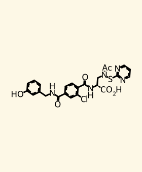 CC(=O)N(C[C@H](NC(=O)c1ccc(C(=O)NCc2cccc(O)c2)cc1Cl)C(=O)O)Sc1ncccn1